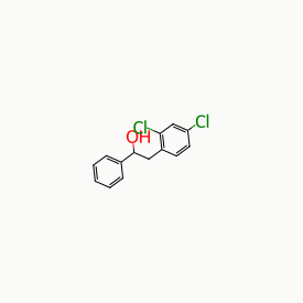 OC(Cc1ccc(Cl)cc1Cl)c1ccccc1